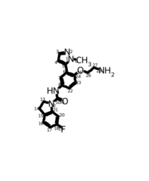 Cn1nccc1-c1cc(NC(=O)N2CCc3ccc(F)cc32)ccc1OCCN